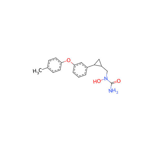 Cc1ccc(Oc2cccc(C3CC3CN(O)C(N)=O)c2)cc1